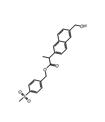 CC(C(=O)OCc1ccc(S(C)(=O)=O)cc1)c1ccc2cc(CO)ccc2c1